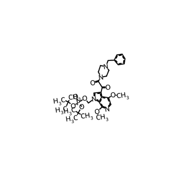 COc1cnc(OC)c2c1c(C(=O)C(=O)N1CCN(Cc3ccccc3)CC1)cn2COP(=O)(OC(C)(C)C)OC(C)(C)C